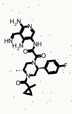 C[C@@H]1CN(C(=O)C(=O)Nc2cnc(N)c(C=N)c2N)[C@@H](c2ccc(F)cc2)CN1C(=O)C1(C)CC1